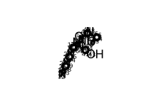 COc1ccccc1-c1cc(C(=O)Nc2nc3ccc(N4CCC(N5CCC6(CC5)CN(C)C6)CC4)cc3n2[C@H]2CC[C@@H](O)CC2)ccn1